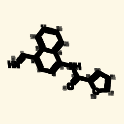 N=Cc1ccc(NC(=O)c2ccco2)c2ccccc12